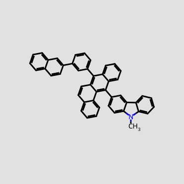 Cn1c2ccccc2c2cc(-c3c4ccccc4c(-c4cccc(-c5ccc6ccccc6c5)c4)c4ccc5ccccc5c34)ccc21